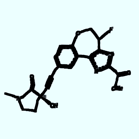 COC(=O)c1nc2c(s1)C(F)COc1ccc(C#C[C@]3(O)CCN(C)C3=O)cc1-2